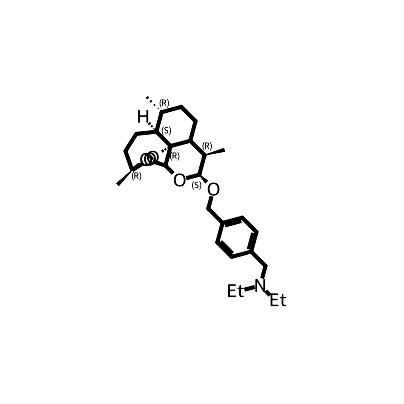 CCN(CC)Cc1ccc(CO[C@H]2OC3O[C@@]4(C)CC[C@H]5[C@H](C)CCC([C@H]2C)[C@@]35OO4)cc1